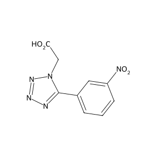 O=C(O)Cn1nnnc1-c1cccc([N+](=O)[O-])c1